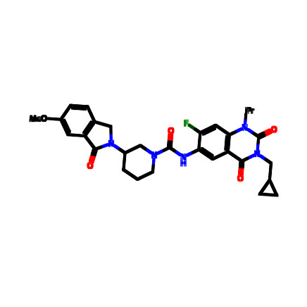 COc1ccc2c(c1)C(=O)N(C1CCCN(C(=O)Nc3cc4c(=O)n(CC5CC5)c(=O)n(C(C)C)c4cc3F)C1)C2